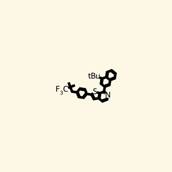 CC(C)(C)c1cc(-c2nccc3cc(-c4ccc(CC(C)(C)C(F)(F)F)cc4)sc23)cc2ccccc12